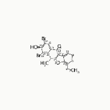 CCc1oc2c(CC)cccc2c1C(=O)c1cc(Br)c(O)c(Br)c1